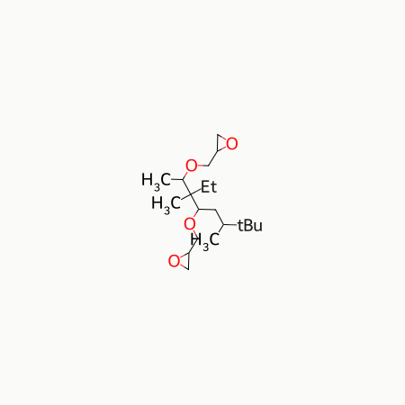 CCC(C)(C(C)OCC1CO1)C(CC(C)C(C)(C)C)OCC1CO1